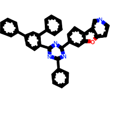 c1ccc(-c2ccc(-c3nc(-c4ccccc4)nc(-c4ccc5c(c4)oc4ccncc45)n3)c(-c3ccccc3)c2)cc1